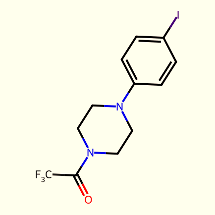 O=C(N1CCN(c2ccc(I)cc2)CC1)C(F)(F)F